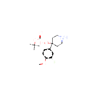 CC(C)(C)OC=O.COc1ccc(C2(O)CCNCC2)cc1F